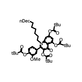 CCCCCCCCCCCCCCCCn1c(-c2ccc(OC(=O)C(C)(C)C)c(OC)c2)c(OC(=O)C(C)(C)C)c(=O)c2c(OC(=O)C(C)(C)C)cc(OC(=O)C(C)(C)C)cc21